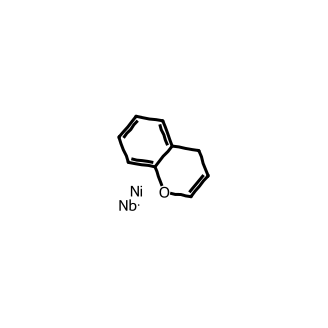 C1=COc2ccccc2C1.[Nb].[Ni]